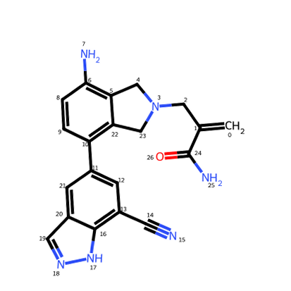 C=C(CN1Cc2c(N)ccc(-c3cc(C#N)c4[nH]ncc4c3)c2C1)C(N)=O